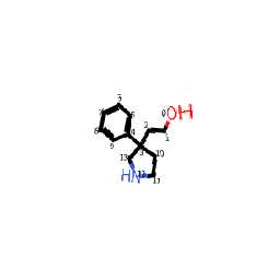 OCCC1(c2ccccc2)CCNC1